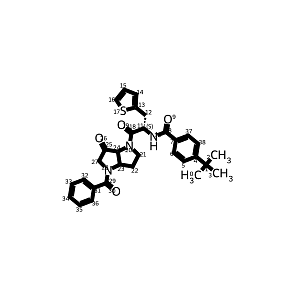 CC(C)(C)c1ccc(C(=O)N[C@@H](Cc2cccs2)C(=O)N2CCC3C2C(=O)CN3C(=O)c2ccccc2)cc1